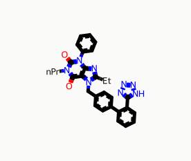 CCCn1c(=O)c2c(nc(CC)n2Cc2ccc(-c3ccccc3-c3nnn[nH]3)cc2)n(-c2ccccc2)c1=O